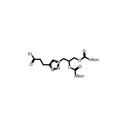 CCCCCCCCCC(=O)OCC(Cn1cc(CCC(=O)CC)nn1)OC(=O)CCCCCCCCC